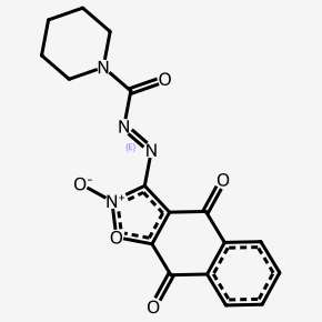 O=C1c2ccccc2C(=O)c2c1o[n+]([O-])c2/N=N/C(=O)N1CCCCC1